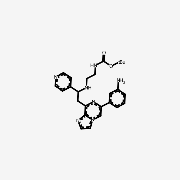 CC(C)(C)OC(=O)NCCNC(Cc1nc(-c2cccc(N)c2)cn2ccnc12)c1ccncc1